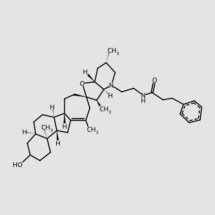 CC1=C2C[C@H]3[C@@H](CC[C@@H]4CC(O)CC[C@@]43C)[C@@H]2CC[C@@]2(C1)O[C@@H]1C[C@H](C)CN(CCNC(=O)CCc3ccccc3)[C@H]1[C@H]2C